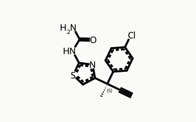 C#C[C@](C)(c1ccc(Cl)cc1)c1csc(NC(N)=O)n1